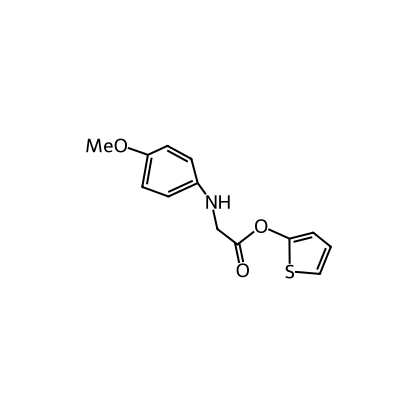 COc1ccc(NCC(=O)Oc2cccs2)cc1